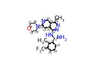 Cc1c([C@@H](N)Nc2nnc(C)c3cnc(N4CCOCC4)cc23)cccc1C(F)(F)F